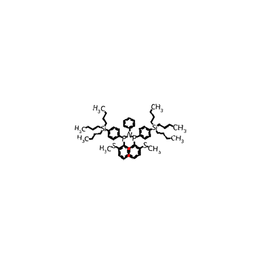 CCCC[Si](CCCC)(CCCC)c1ccc(P(c2ccccc2SC)N(c2ccccc2)P(c2ccc([Si](CCCC)(CCCC)CCCC)cc2)c2ccccc2SC)cc1